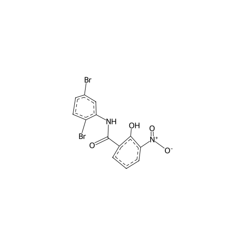 O=C(Nc1cc(Br)ccc1Br)c1cccc([N+](=O)[O-])c1O